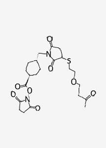 CC(=O)CCOCCSC1CC(=O)N(C[C@H]2CC[C@H](C(=O)ON3C(=O)CCC3=O)CC2)C1=O